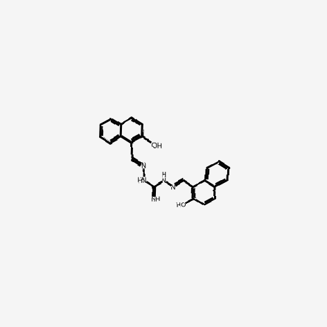 N=C(N/N=C/c1c(O)ccc2ccccc12)N/N=C/c1c(O)ccc2ccccc12